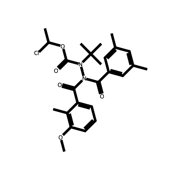 COc1cccc(C(=O)N(C(=O)c2cc(C)cc(C)c2)N(C(=O)OC(C)Cl)C(C)(C)C)c1C